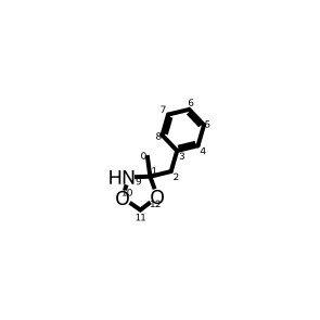 CC1(Cc2ccccc2)NOCO1